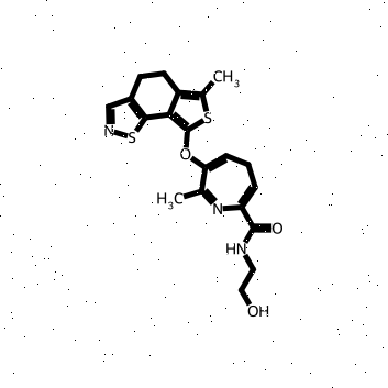 CC1=NC(C(=O)NCCO)=CCC=C1Oc1sc(C)c2c1-c1sncc1CC2